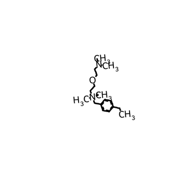 CCc1ccc(C[N+](C)(C)CCOCCN(C)C)cc1